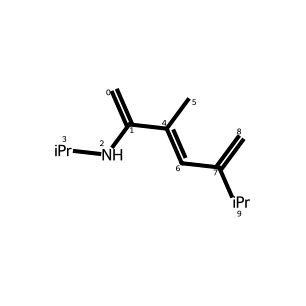 C=C(NC(C)C)/C(C)=C/C(=C)C(C)C